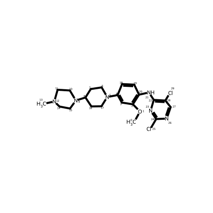 COc1cc(N2CCC(N3CCN(C)CC3)CC2)ccc1Nc1nc(Cl)ncc1Cl